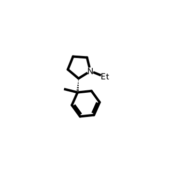 CCN1CCC[C@H]1C1(C)C=CC=CC1